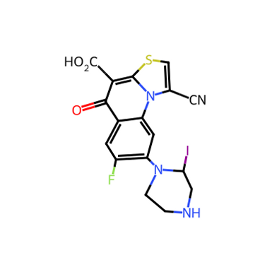 N#Cc1csc2c(C(=O)O)c(=O)c3cc(F)c(N4CCNCC4I)cc3n12